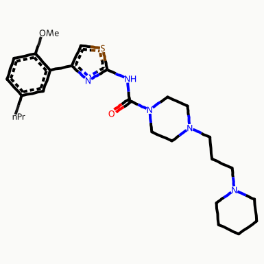 CCCc1ccc(OC)c(-c2csc(NC(=O)N3CCN(CCCN4CCCCC4)CC3)n2)c1